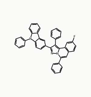 Fc1ccc2cc(-c3ccccc3)n3nc(-c4ccc5c(c4)c4ccccc4n5-c4ccccc4)c(-c4ccccc4)c3c2c1